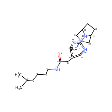 CC(C)CCCCNC(=O)Cc1cnc(N2C3CCC2CN(C)C3)nc1